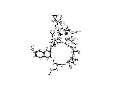 CCCC1CCc2nc3ccc(OC)cc3nc2O[C@H]2CN(C(O)[C@H](C(C)(C)C)NC(=O)O[C@@H]3C[C@H]3CC1)[C@H](C(=O)N[C@]1(C(=O)NS(=O)(=O)C3(C)CC3)C[C@H]1C(F)F)[C@@H]2CC(C)C